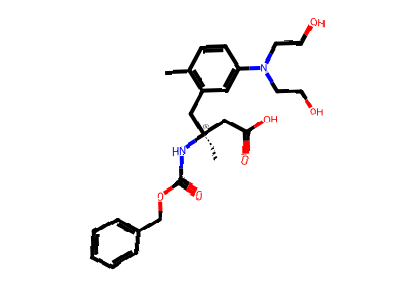 Cc1ccc(N(CCO)CCO)cc1C[C@@](C)(CC(=O)O)NC(=O)OCc1ccccc1